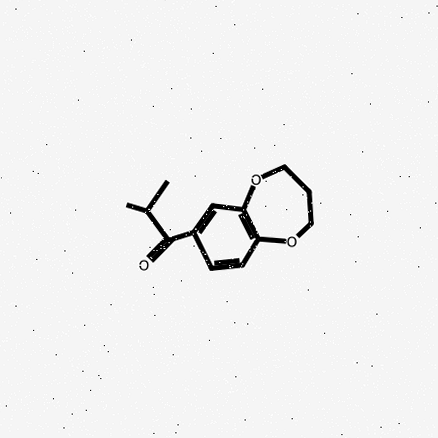 CC(C)C(=O)c1ccc2c(c1)OCCCO2